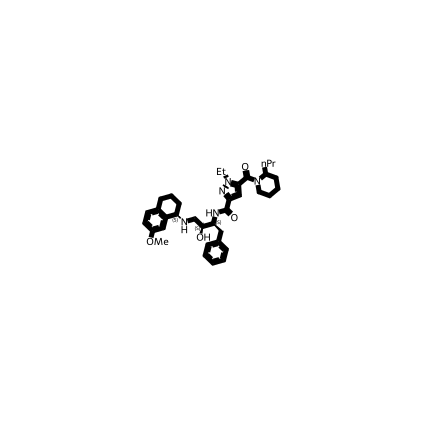 CCCC1CCCCN1C(=O)c1cc(C(=O)N[C@@H](Cc2ccccc2)[C@@H](O)CN[C@H]2CCCc3ccc(OC)cc32)nn1CC